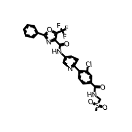 CS(=O)(=O)CNC(=O)c1ccc(-c2ccc(NC(=O)c3nc(-c4ccccc4)oc3C(F)(F)F)cn2)c(Cl)c1